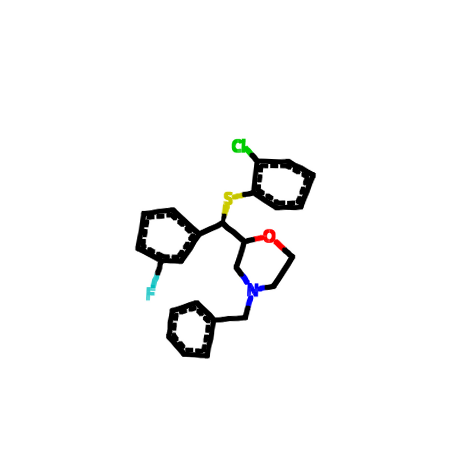 Fc1cccc([C@@H](Sc2ccccc2Cl)C2CN(Cc3ccccc3)CCO2)c1